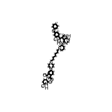 O=C1CCC(N2C(=O)c3ccc(N4CCN(CCCCCCCN5CCCC(Nc6ncnc7[nH]cc(C(=O)c8ccc(Oc9ccccc9)cc8Cl)c67)C5)CC4)cc3C2=O)C(=O)N1